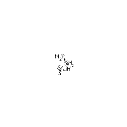 [LiH].[S]=[Sn].[SiH3]P